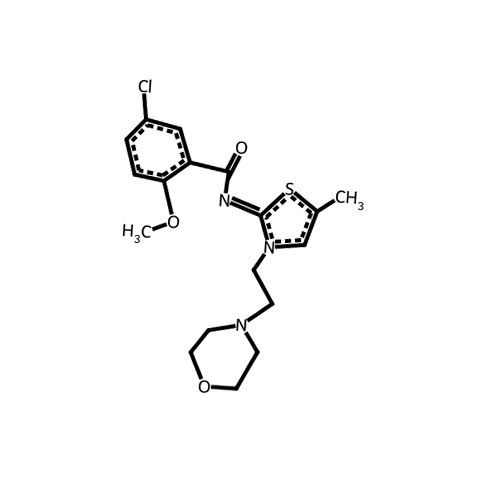 COc1ccc(Cl)cc1C(=O)N=c1sc(C)cn1CCN1CCOCC1